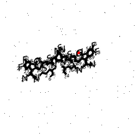 CCCCC(CC)Cn1c2c3sc(/C=C4\C(=O)c5cc(F)c(F)cc5C4=C(C#N)C#N)c(Cl)c3sc2c2c3nsnc3c3c4sc5c(Cl)c(/C=C6\C(=O)c7cc(F)c(F)cc7C6=C(C#N)C#N)sc5c4n(CC(CC)CCCC)c3c21